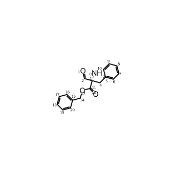 N[C@](C=O)(Cc1ccccc1)C(=O)OCc1ccccc1